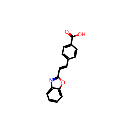 O=C(O)c1ccc(C=Cc2nc3ccccc3o2)cc1